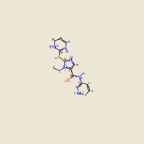 CCn1c(C(=O)N(C)C2=CNCC=C2)cnc1SC1=NC=CCN1